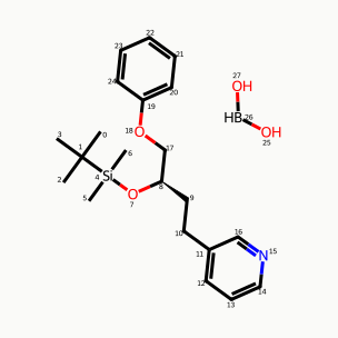 CC(C)(C)[Si](C)(C)O[C@H](CCc1cccnc1)COc1ccccc1.OBO